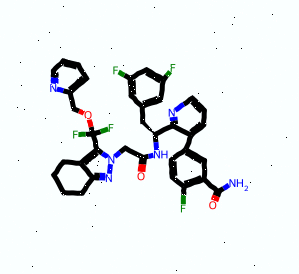 NC(=O)c1cc(-c2cccnc2[C@H](Cc2cc(F)cc(F)c2)NC(=O)Cn2nc3c(c2C(F)(F)OCc2ccccn2)CCCC3)ccc1F